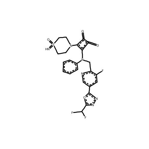 N=S1(=O)CCN(c2c(N(Cc3ncc(-c4nnc(C(F)F)o4)cc3F)c3ccccc3)c(=O)c2=O)CC1